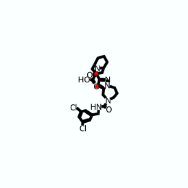 O=C(O)C1CC2CCCC(C1)N2C(=O)c1cc2n(n1)CCCN(C(=O)NCc1cc(Cl)cc(Cl)c1)C2